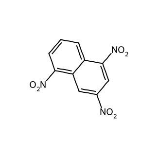 O=[N+]([O-])c1cc([N+](=O)[O-])c2cccc([N+](=O)[O-])c2c1